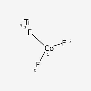 [F][Co]([F])[F].[Ti]